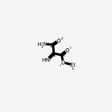 CCOC(=O)C(=N)C(N)=O